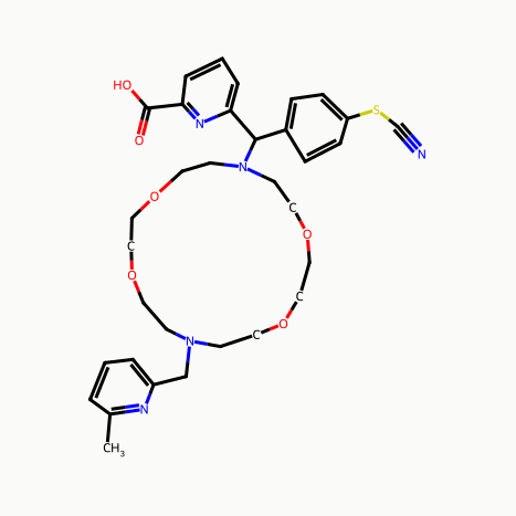 Cc1cccc(CN2CCOCCOCCN(C(c3ccc(SC#N)cc3)c3cccc(C(=O)O)n3)CCOCCOCC2)n1